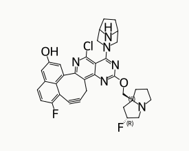 Oc1cc2c3c(c(F)ccc3c1)C#CCc1c-2nc(Cl)c2c(N3CC4CCC(C3)N4)nc(OC[C@@]34CCCN3C[C@H](F)C4)nc12